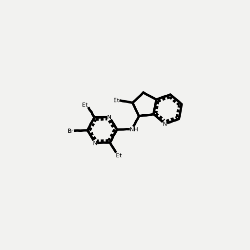 CCc1nc(NC2c3ncccc3CC2CC)c(CC)nc1Br